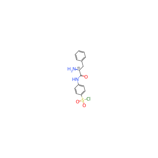 N[C@@H](Cc1ccccc1)C(=O)Nc1ccc(S(=O)(=O)Cl)cc1